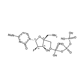 CNc1ccn([C@@H]2O[C@](CN)(COP(=O)(O)OP(=O)(O)OP(=O)(O)O)[C@@H](O)[C@H]2F)c(=O)n1